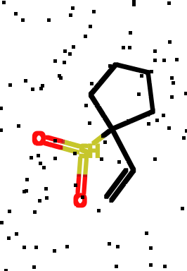 C=CC1([SH](=O)=O)CCCC1